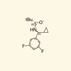 CC(C)(C)[S@+]([O-])N[C@H](c1cc(F)cc(F)c1)C1CC1